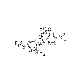 CCS(=O)(=O)c1cc(C2CC2)cnc1C(=O)N=c1ccc(SC(F)(F)F)cn1C